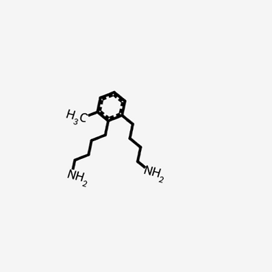 Cc1cccc(CCCCN)c1CCCCN